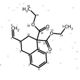 C=CC1Cc2ccccc2C(C(=O)OCC)(C(=O)OCC)C1